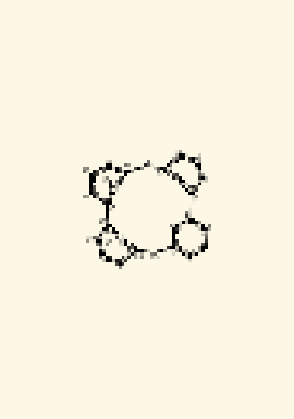 c1cc2cc(c1)-c1cccc(c1)Cc1cccc(n1)-c1cccc(n1)C2